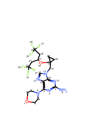 Nc1nc(N2CCOCC2)c2ncn(CC3(OC(CC(F)(F)F)CC(F)(F)F)CC3)c2n1